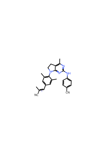 C/C(C#N)=C\c1cc(C)c(N2CCc3c(C)nc(Nc4ccc(C#N)cc4)nc32)c(C)c1